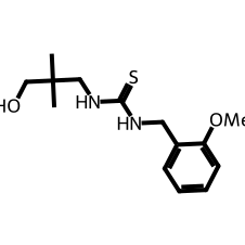 COc1ccccc1CNC(=S)NCC(C)(C)CO